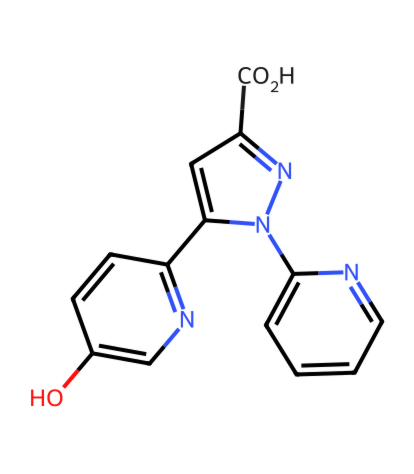 O=C(O)c1cc(-c2ccc(O)cn2)n(-c2ccccn2)n1